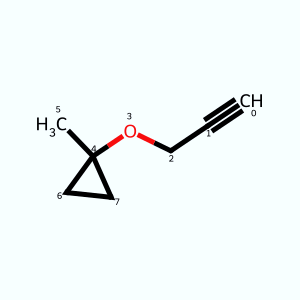 C#CCOC1(C)CC1